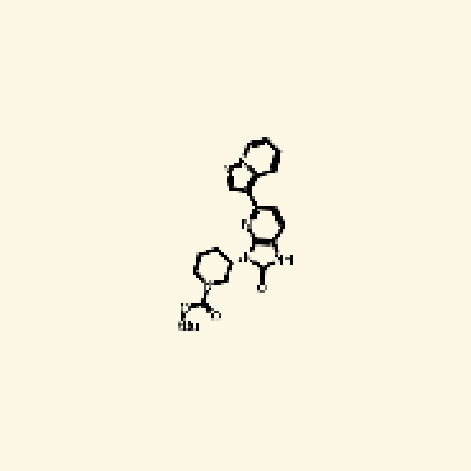 CC(C)(C)OC(=O)N1CCC[C@H](n2c(=O)[nH]c3ccc(-c4cnn5ccccc45)nc32)C1